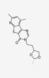 Cc1cc(C)c2c(n1)sc1c(=O)n(CCC3CO[C@H](C)O3)cnc12